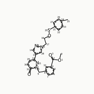 COC(=O)c1cccc(Cn2nc(-c3cnn(CCOSc4ccc(C)cc4)c3)ccc2=O)c1